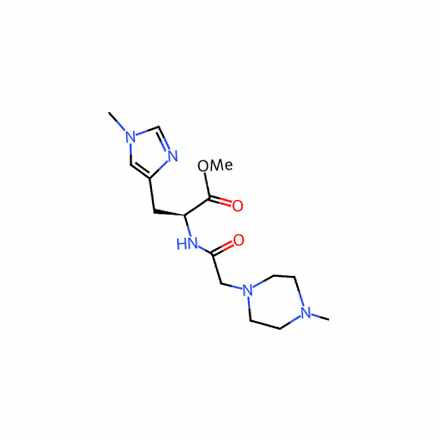 COC(=O)[C@H](Cc1cn(C)cn1)NC(=O)CN1CCN(C)CC1